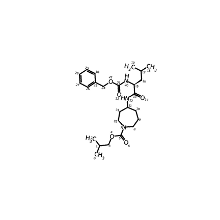 CC(C)COC(=O)N1CCCC(NC(=O)[C@H](CC(C)C)NC(=O)OCc2ccccc2)CC1